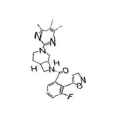 Cc1nc(N2CC[C@@H]3CN(C(=O)c4cccc(F)c4-c4ccno4)[C@@H]3C2)nc(C)c1C